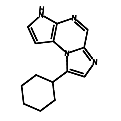 c1cc2c(ncc3ncc(C4CCCCC4)n32)[nH]1